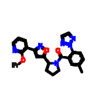 Cc1ccc(-n2nccn2)c(C(=O)N2CCCC2c2cc(-c3cccnc3OC(C)C)no2)c1